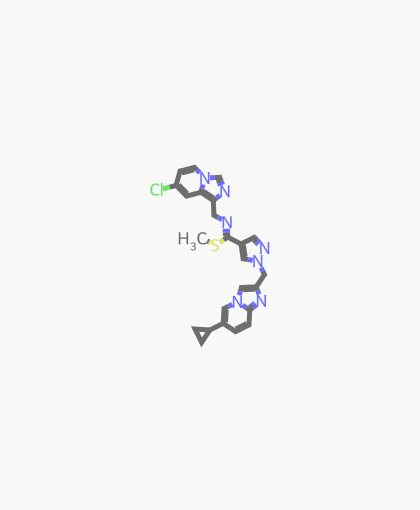 CSC(=NCc1ncn2ccc(Cl)cc12)c1cnn(Cc2cn3cc(C4CC4)ccc3n2)c1